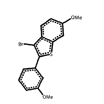 COc1cccc(-c2sc3cc(OC)ccc3c2Br)c1